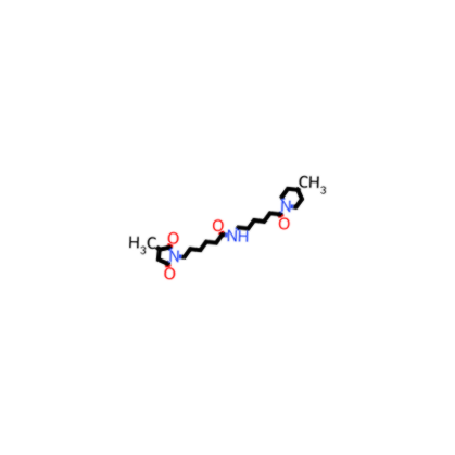 CC1CCN(C(=O)CCCCCNC(=O)CCCCCN2C(=O)CC(C)C2=O)CC1